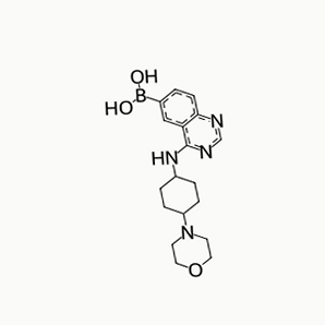 OB(O)c1ccc2ncnc(NC3CCC(N4CCOCC4)CC3)c2c1